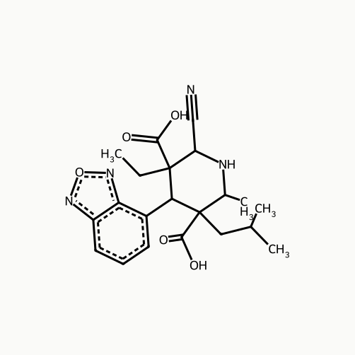 CCC1(C(=O)O)C(C#N)NC(C)C(CC(C)C)(C(=O)O)C1c1cccc2nonc12